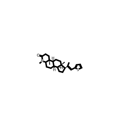 C/C(=C\c1cccs1)[C@H]1CC[C@H]2[C@@H]3CCC4N(C)C(=O)CC[C@]4(C)[C@H]3CC[C@]12C